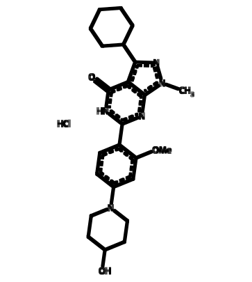 COc1cc(N2CCC(O)CC2)ccc1-c1nc2c(c(C3CCCCC3)nn2C)c(=O)[nH]1.Cl